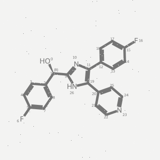 O[C@H](c1ccc(F)cc1)c1nc(-c2ccc(F)cc2)c(-c2ccncc2)[nH]1